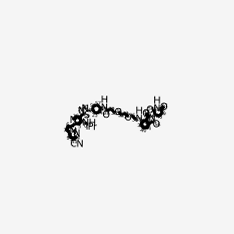 CC(C)Nc1cc(-c2ccc3cc(C#N)cnn23)ncc1-c1nnc([C@H]2CC[C@H](NC(=O)CCOCCOCCNc3cccc4c3C(=O)N(C3CCC(=O)NC3=O)C4=O)CC2)s1